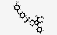 NC(=O)c1c(Cl)c(-c2ccccc2)n2c1CN(C(=O)Nc1ccc(Oc3ccc(F)cc3)cc1)CC2